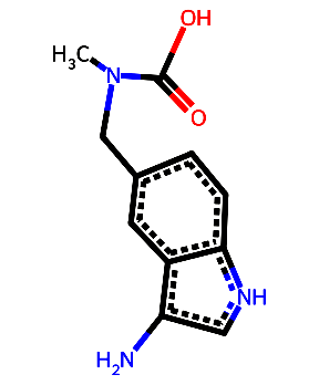 CN(Cc1ccc2[nH]cc(N)c2c1)C(=O)O